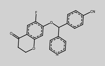 N#Cc1ccc(C(Oc2cc3c(cc2F)C(=O)CCO3)c2ccncc2)cc1